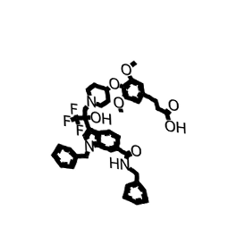 COc1cc(CCC(=O)O)cc(OC)c1OC1CCN(CC(O)(c2cn(Cc3ccccc3)c3cc(C(=O)NCc4ccccc4)ccc23)C(F)(F)F)CC1